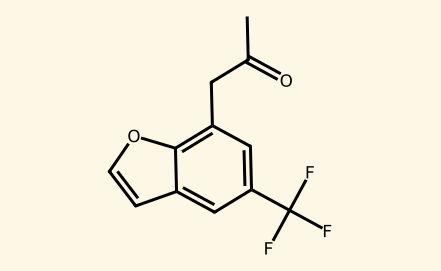 CC(=O)Cc1cc(C(F)(F)F)cc2ccoc12